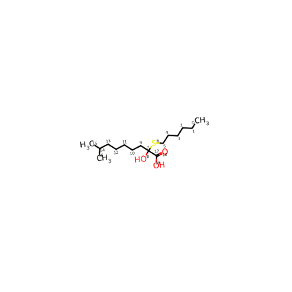 CCCCCCSC(O)(CCCCCC(C)C)C(=O)O